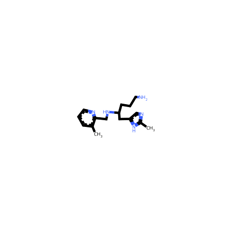 Cc1ncc(CC(CCCN)NCc2ncccc2C)[nH]1